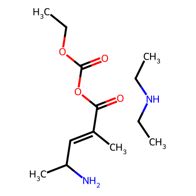 CCNCC.CCOC(=O)OC(=O)C(C)=CC(C)N